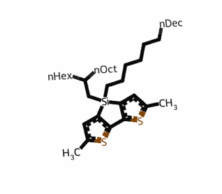 CCCCCCCCCCCCCCCC[Si]1(CC(CCCCCC)CCCCCCCC)c2cc(C)sc2-c2sc(C)cc21